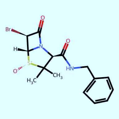 CC1(C)[C@H](C(=O)NCc2ccccc2)N2C(=O)[C@H](Br)[C@H]2[S@@+]1[O-]